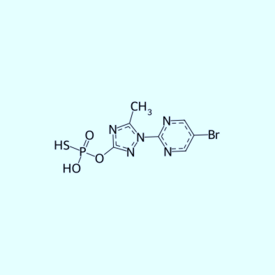 Cc1nc(OP(=O)(O)S)nn1-c1ncc(Br)cn1